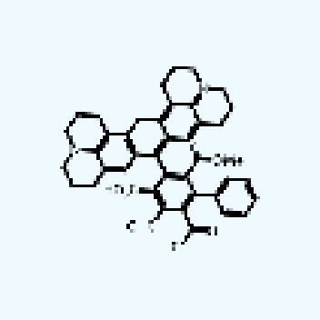 COC(=O)c1c(C2=c3cc4c5c(c3Cc3c2cc2c6c3CCCN6CCC2)CCC[N+]=5CCC4)c(C(=O)O)c(C=O)c(C(=O)Cl)c1-c1ccccc1